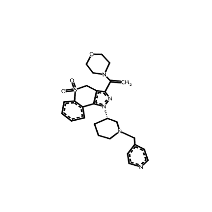 C=C(c1nn([C@H]2CCCN(Cc3ccncc3)C2)c2c1CS(=O)(=O)c1ccccc1-2)N1CCOCC1